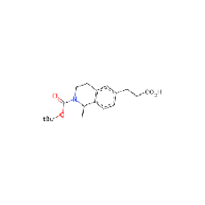 CC1c2ccc(CCC(=O)O)cc2CCN1C(=O)OC(C)(C)C